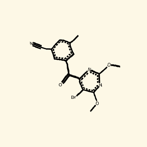 COc1nc(OC)c(Br)c(C(=O)c2cc(C)cc(C#N)c2)n1